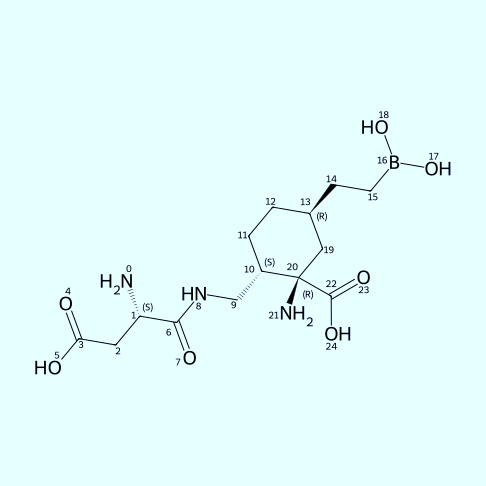 N[C@@H](CC(=O)O)C(=O)NC[C@@H]1CC[C@@H](CCB(O)O)C[C@]1(N)C(=O)O